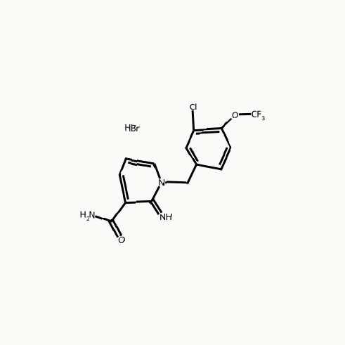 Br.N=c1c(C(N)=O)cccn1Cc1ccc(OC(F)(F)F)c(Cl)c1